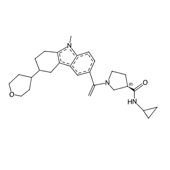 C=C(c1ccc2c(c1)c1c(n2C)CCC(C2CCOCC2)C1)N1CC[C@@H](C(=O)NC2CC2)C1